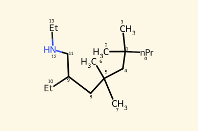 CCCC(C)(C)CC(C)(C)CC(CC)CNCC